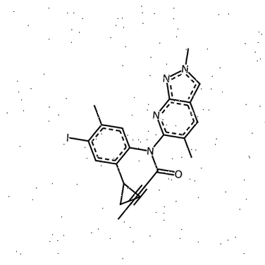 CC#CC(=O)N(c1cc(C)c(I)cc1C1CC1)c1nc2nn(C)cc2cc1C